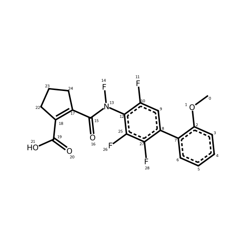 COc1ccccc1-c1cc(F)c(N(F)C(=O)C2=C(C(=O)O)CCC2)c(F)c1F